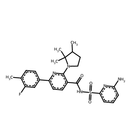 Cc1ccc(-c2ccc(C(=O)NS(=O)(=O)c3cccc(N)n3)c(N3CCC(C)C3(C)C)n2)cc1F